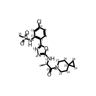 C[C@@H](Nc1nnc(-c2ccc(Cl)cc2NS(C)(=O)=O)o1)C(=O)N1CCC2(CC1)CC2